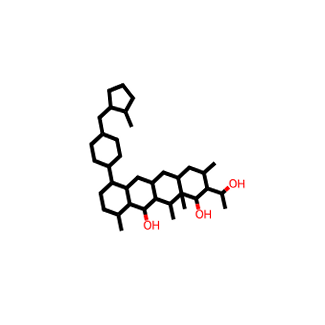 CC(O)C1C(C)CC2CC3CC4C(C5CCC(CC6CCCC6C)CC5)CCC(C)C4C(O)C3C(C)C2(C)C1O